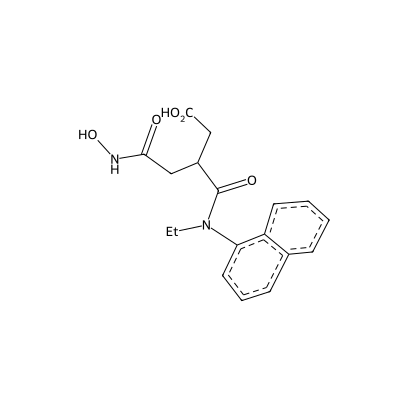 CCN(C(=O)C(CC(=O)O)CC(=O)NO)c1cccc2ccccc12